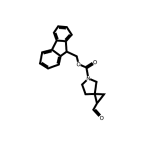 O=CC1CC12CCN(C(=O)OCC1c3ccccc3-c3ccccc31)C2